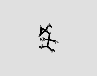 CC(C)C(C)(C)CC1(C)N=N1